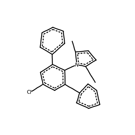 Cc1ccc(C)n1-c1c(-c2ccccc2)cc(Cl)cc1-c1ccccc1